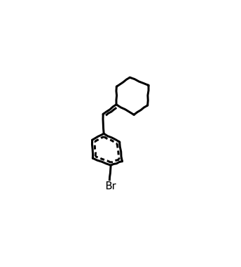 Brc1ccc(C=C2CCCCC2)cc1